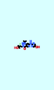 CC(C)Nc1cc(Nc2ncc(O)cn2)ncc1C(=O)NCC(F)C(C)(C)O